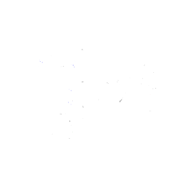 CN(CCN)Cc1nn2c(c1[C@H]1CC[C@]3(CC1)COCC(C)(C)C3)CC(F)(F)C2